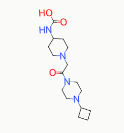 O=C(O)NC1CCN(CC(=O)N2CCN(C3CCC3)CC2)CC1